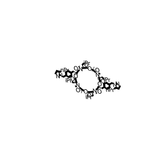 CCCc1ccnn1Cc1ccc(C[C@H]2OC(=O)[C@H](CC(C)C)N(C)C(=O)[C@@H](C)OC(=O)[C@H](CC(C)C)N(C)C(=O)[C@@H](Cc3ccc(Cn4nccc4CCC)cc3)OC(=O)[C@H](CC(C)C)N(C)C(=O)[C@@H](C)OC(=O)[C@H](CC(C)C)N(C)C2=O)cc1